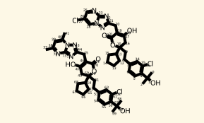 CC(C)(O)c1ccc(CCC2(C3CCCC3)CC(O)=C(Cc3nc4ncc(Cl)cn4n3)C(=O)O2)cc1Cl.Cc1cc(C)n2nc(CC3=C(O)CC(CCc4ccc(C(C)(C)O)c(Cl)c4)(C4CCCC4)OC3=O)nc2n1